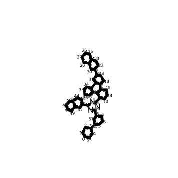 c1ccc(-c2cccc(-c3nc(-c4cccc(-c5ccc(-c6ccc7ccccc7c6)cc5-c5ccccc5)c4)nc(-c4ccc5ccccc5c4)n3)c2)cc1